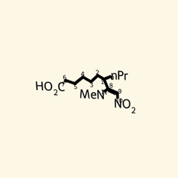 CCCC(CCCCCC(=O)O)C(=C[N+](=O)[O-])NC